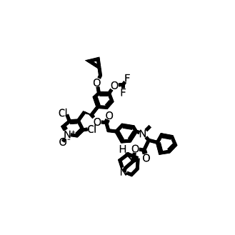 CN(c1ccc(CC(=O)O[C@@H](Cc2c(Cl)c[n+]([O-])cc2Cl)c2ccc(OC(F)F)c(OCC3CC3)c2)cc1)C(C(=O)O[C@H]1CN2CCC1CC2)c1ccccc1